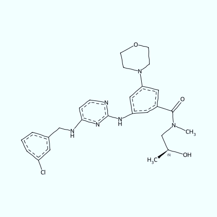 C[C@H](O)CN(C)C(=O)c1cc(Nc2nccc(NCc3cccc(Cl)c3)n2)cc(N2CCOCC2)c1